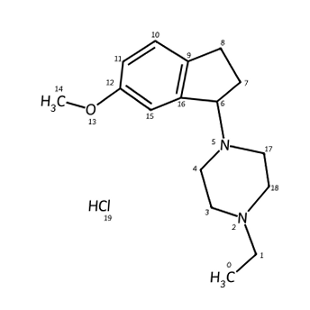 CCN1CCN(C2CCc3ccc(OC)cc32)CC1.Cl